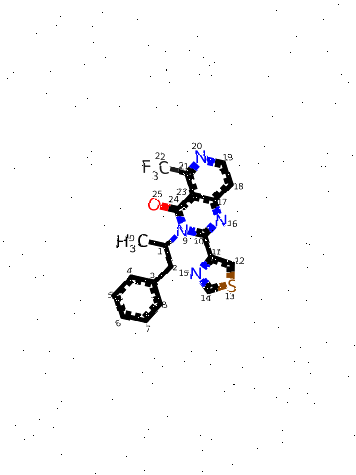 CC(Cc1ccccc1)n1c(-c2cscn2)nc2ccnc(C(F)(F)F)c2c1=O